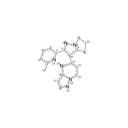 Cc1cccc(-c2nn3c(c2-c2ccn4nccc4n2)CCC3)n1